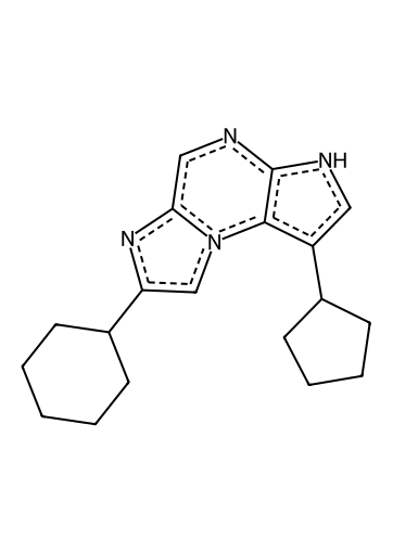 c1[nH]c2ncc3nc(C4CCCCC4)cn3c2c1C1CCCC1